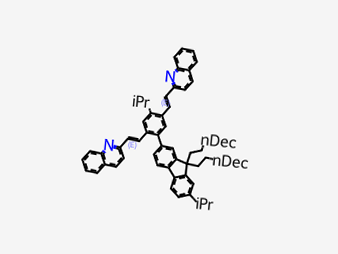 CCCCCCCCCCCCC1(CCCCCCCCCCCC)c2cc(-c3cc(/C=C/c4ccc5ccccc5n4)c(C(C)C)cc3/C=C/c3ccc4ccccc4n3)ccc2-c2ccc(C(C)C)cc21